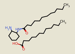 CCCCCCCCCCCC(=O)NC1CCCCC1N.CCCCCCCCCCCC(=O)O